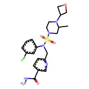 CC1CN(S(=O)(=O)N(Cc2ccc(C(=O)NN)cn2)c2cccc(Cl)c2)CCN1C1COC1